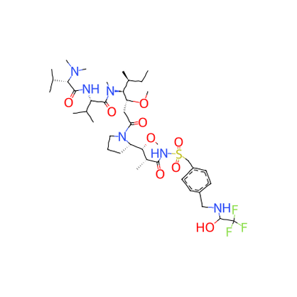 CC[C@H](C)[C@@H]([C@@H](CC(=O)N1CCC[C@H]1[C@H](OC)[C@@H](C)C(=O)NS(=O)(=O)Cc1ccc(CNC(O)C(F)(F)F)cc1)OC)N(C)C(=O)[C@@H](NC(=O)[C@H](C(C)C)N(C)C)C(C)C